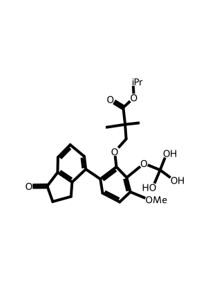 COc1ccc(-c2cccc3c2CCC3=O)c(OCC(C)(C)C(=O)OC(C)C)c1OC(O)(O)O